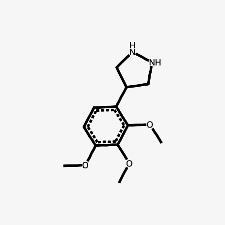 COc1ccc(C2CNNC2)c(OC)c1OC